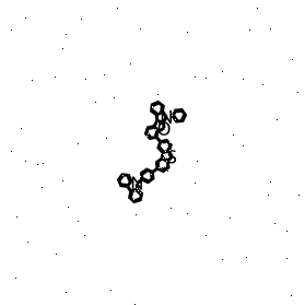 c1ccc(-n2c3ccccc3c3c4cccc(-c5ccc6sc7ccc(-c8ccc(-n9c%10ccccc%10c%10ccccc%109)cc8)cc7c6c5)c4oc32)cc1